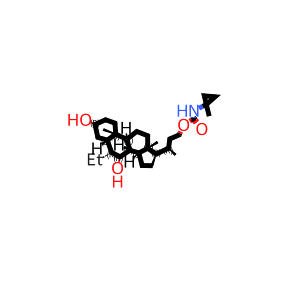 CC[C@H]1[C@@H](O)[C@@H]2[C@H](CC[C@]3(C)[C@@H]([C@H](C)CCOC(=O)NC4(C)CC4)CC[C@@H]23)[C@@]2(C)CC[C@@H](O)C[C@@H]12